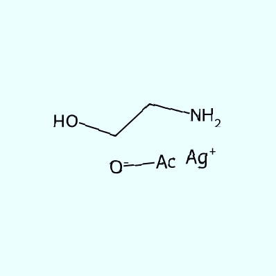 CC(=O)[O-].NCCO.[Ag+]